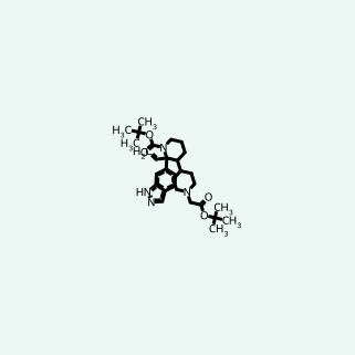 C=CC1(c2ccc3cn[nH]c3c2)C(C2CCN(CC(=O)OC(C)(C)C)CC2)CCCN1C(=O)OC(C)(C)C